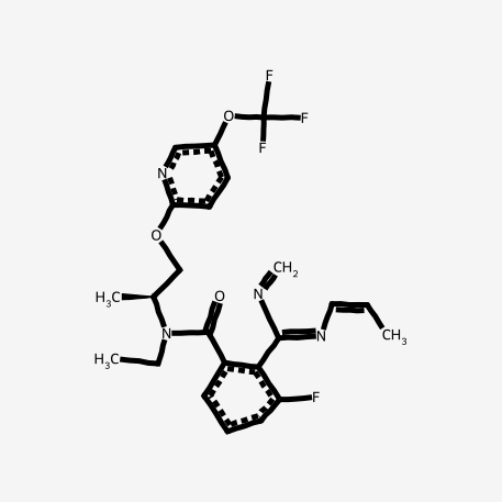 C=N/C(=N\C=C/C)c1c(F)cccc1C(=O)N(CC)[C@@H](C)COc1ccc(OC(F)(F)F)cn1